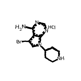 Cl.Nc1ncnc2c1c(Br)cn2C1CCNCC1